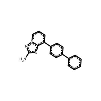 Nc1nc2c(-c3ccc(-c4ccccc4)cc3)cccn2n1